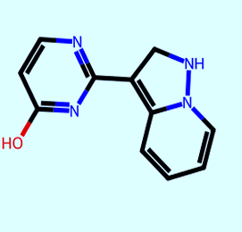 Oc1ccnc(C2=C3C=CC=CN3NC2)n1